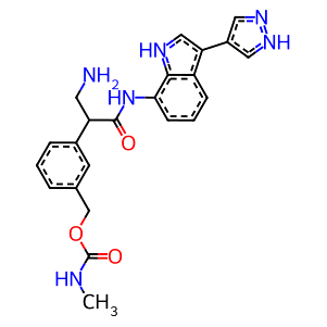 CNC(=O)OCc1cccc(C(CN)C(=O)Nc2cccc3c(-c4cn[nH]c4)c[nH]c23)c1